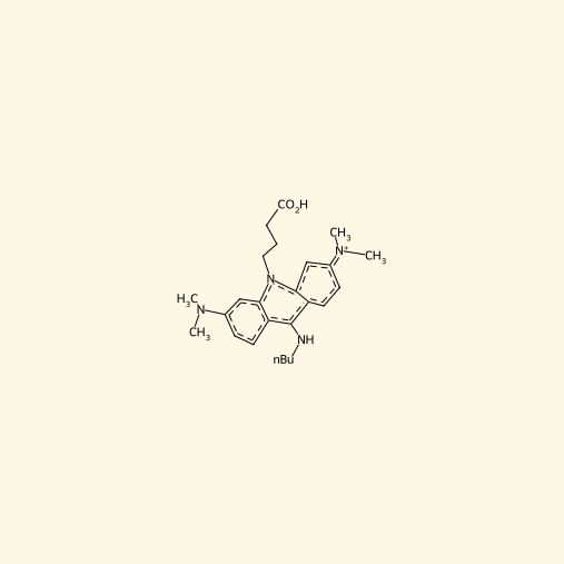 CCCCNc1c2ccc(=[N+](C)C)cc-2n(CCCC(=O)O)c2cc(N(C)C)ccc12